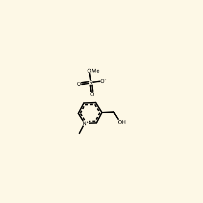 COS(=O)(=O)[O-].C[n+]1cccc(CO)c1